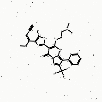 C#C/C=C(/OC)c1nc(-c2c(OCCN(C)C)[nH]c3c(-c4ccccc4)c(C(F)(F)F)nn3c2=O)oc1C